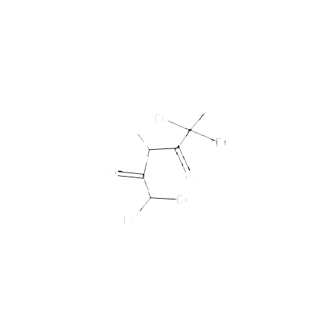 CCC(CC)C(=O)C(C)C(=O)C(C)(CC)CC